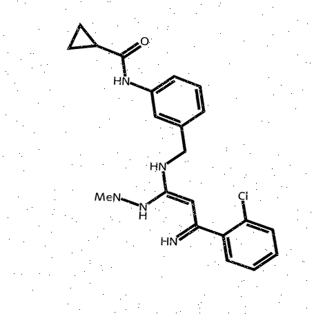 CNN/C(=C\C(=N)c1ccccc1Cl)NCc1cccc(NC(=O)C2CC2)c1